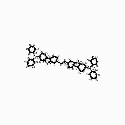 C(=C\c1ccc2c(c1)sc1cc(N(c3ccccc3)c3ccccc3)ccc12)/c1ccc2c(c1)oc1cc(N(c3ccccc3)c3ccccc3)ccc12